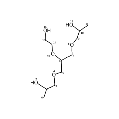 CC(O)COCC(COCC(C)O)OCCO